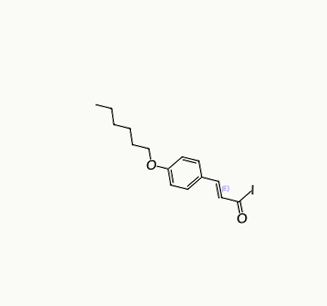 CCCCCCOc1ccc(/C=C/C(=O)I)cc1